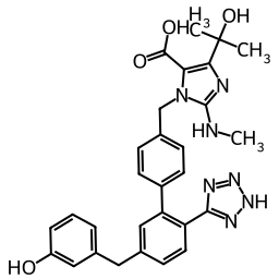 CNc1nc(C(C)(C)O)c(C(=O)O)n1Cc1ccc(-c2cc(Cc3cccc(O)c3)ccc2-c2nn[nH]n2)cc1